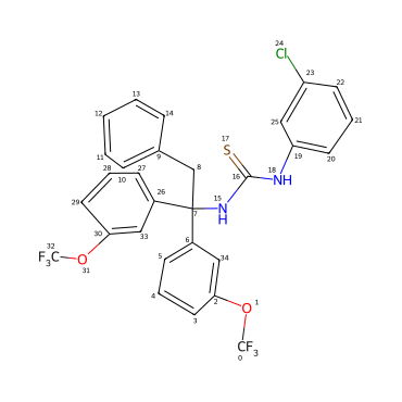 FC(F)(F)Oc1cccc(C(Cc2ccccc2)(NC(=S)Nc2cccc(Cl)c2)c2cccc(OC(F)(F)F)c2)c1